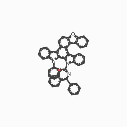 c1ccc(-c2nc(-n3c4ccccc4c4c5c(ccc6oc7ccccc7c65)c5c6ccccc6n(-c6ccccc6)c5c43)nc3ccccc23)cc1